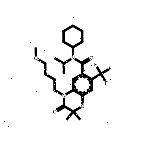 COCCCCN1C(=O)C(C)(C)Oc2cc(C(F)(F)F)c(C(=O)N(C(C)C)C3CCCCC3)cc21